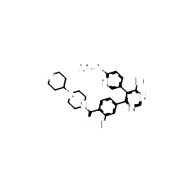 CCc1ncnc(-c2ccc(C(=O)N3CCN(C4CCOCC4)CC3)c(F)c2)c1-c1ccc(NC)nc1